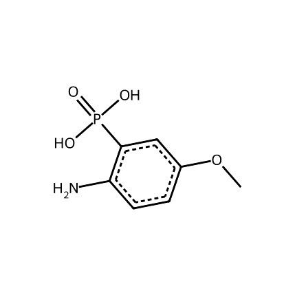 COc1ccc(N)c(P(=O)(O)O)c1